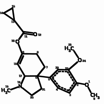 COc1ccc(C23CCC(OC(=O)C4CC4)=CC2N(C)CC3)cc1OC